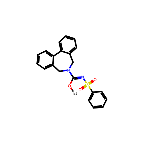 CCO/C(=N\S(=O)(=O)c1ccccc1)N1Cc2ccccc2-c2ccccc2C1